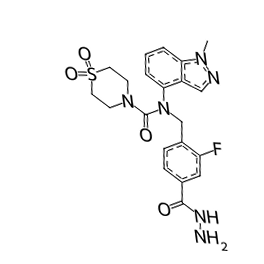 Cn1ncc2c(N(Cc3ccc(C(=O)NN)cc3F)C(=O)N3CCS(=O)(=O)CC3)cccc21